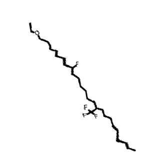 CCCCCCCCCC(CCCCCCC(F)CCCCCCCOCC)C(F)(F)F